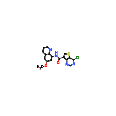 COc1cc(NC(=O)c2csc3c(Cl)ncnc23)c2ncccc2c1